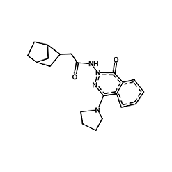 O=C(CC1CC2CCC1C2)Nn1nc(N2CCCC2)c2ccccc2c1=O